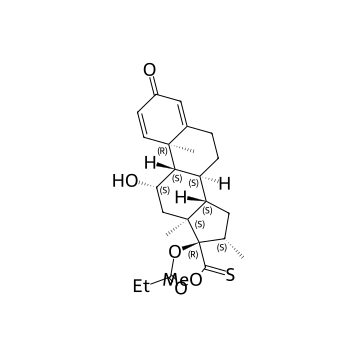 CCC(=O)O[C@]1(C(=S)OC)[C@@H](C)C[C@H]2[C@@H]3CCC4=CC(=O)C=C[C@]4(C)[C@H]3[C@@H](O)C[C@@]21C